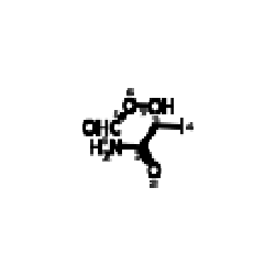 NC(=O)CI.O=COO